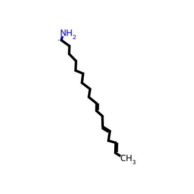 CC=CCC=CCC=CCCCCCCCC[CH]N